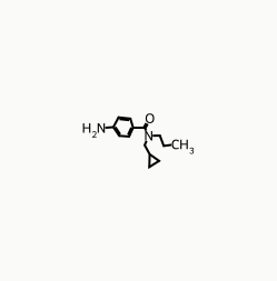 CCCN(CC1CC1)C(=O)c1ccc(N)cc1